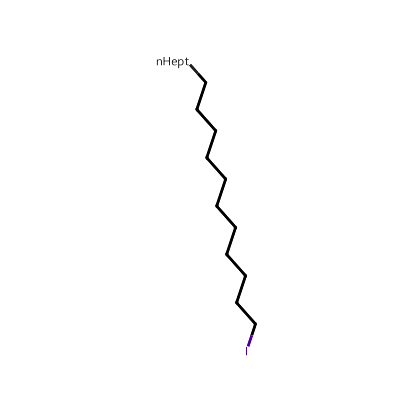 CCCCCCCCCCCCCCCCCCI